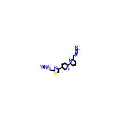 [N-]=[N+]=NCc1cccc(-c2ccc(-c3csc(CN=[N+]=[N-])n3)cn2)n1